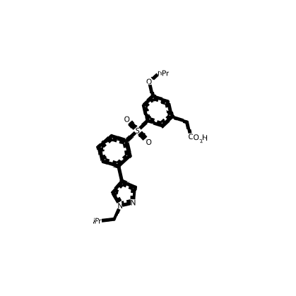 CCCOc1cc(CC(=O)O)cc(S(=O)(=O)c2cccc(-c3cnn(CC(C)C)c3)c2)c1